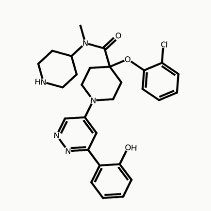 CN(C(=O)C1(Oc2ccccc2Cl)CCN(c2cnnc(-c3ccccc3O)c2)CC1)C1CCNCC1